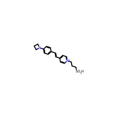 O=S(=O)(O)CCC[n+]1ccc(/C=C/c2ccc(N3CCC3)cc2)cc1